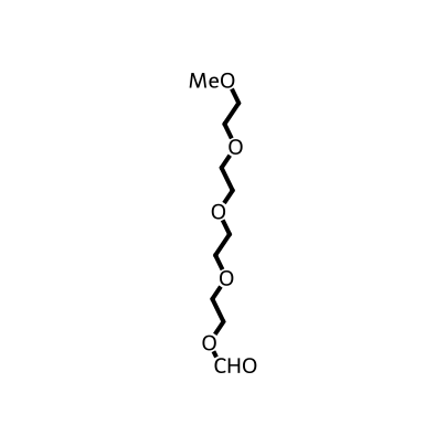 COCCOCCOCCOCCOC=O